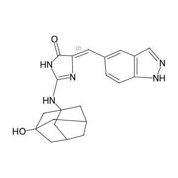 O=C1NC(NC23CC4CC(CC(O)(C4)C2)C3)=N/C1=C\c1ccc2[nH]ncc2c1